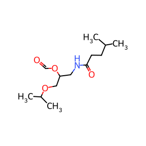 CC(C)CCC(=O)NCC(COC(C)C)OC=O